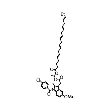 CCC=CCC=CCC=CCC=CCC=CCCCC(=O)OC(C)OC(=O)Cc1c(C)n(C(=O)c2ccc(Cl)cc2)c2ccc(OC)cc12